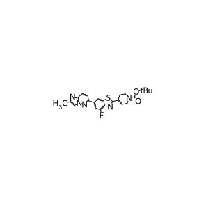 Cc1cn2nc(-c3cc(F)c4nc(C5=CCN(C(=O)OC(C)(C)C)CC5)sc4c3)ccc2n1